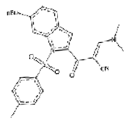 CCCCc1ccc2cc(C(=O)C(C#N)=CN(C)C)n(S(=O)(=O)c3ccc(C)cc3)c2c1